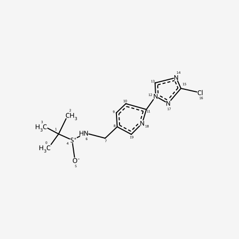 CC(C)(C)[S+]([O-])NCc1ccc(-n2cnc(Cl)n2)nc1